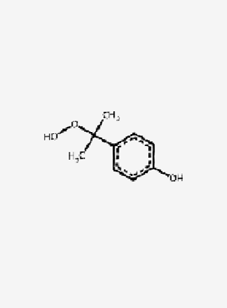 CC(C)(OO)c1ccc(O)cc1